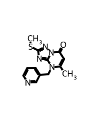 CSc1nc2n(Cc3cccnc3)c(C)cc(=O)n2n1